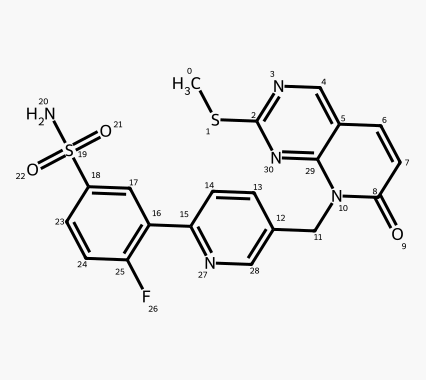 CSc1ncc2ccc(=O)n(Cc3ccc(-c4cc(S(N)(=O)=O)ccc4F)nc3)c2n1